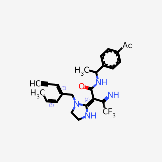 C#C/C=C(\C=C/C)CN1CCN/C1=C(\C(=N)C(F)(F)F)C(=O)NC(C)c1ccc(C(C)=O)cc1